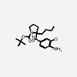 CCCCC1(C(O)c2ccc(N)c(Cl)c2)CCCN1C(=O)OC(C)(C)C